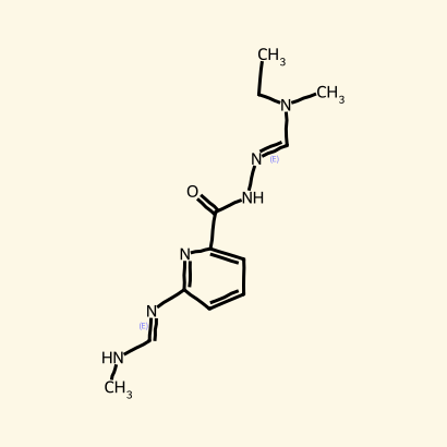 CCN(C)/C=N/NC(=O)c1cccc(/N=C/NC)n1